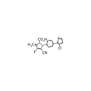 CN1C(F)=C(C#N)C(c2ccc(-c3sccc3Cl)cc2)C1C(=O)O